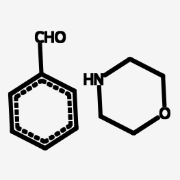 C1COCCN1.O=Cc1ccccc1